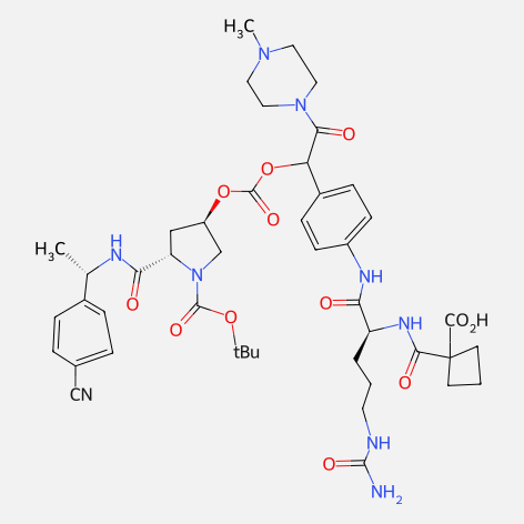 C[C@H](NC(=O)[C@@H]1C[C@@H](OC(=O)OC(C(=O)N2CCN(C)CC2)c2ccc(NC(=O)[C@H](CCCNC(N)=O)NC(=O)C3(C(=O)O)CCC3)cc2)CN1C(=O)OC(C)(C)C)c1ccc(C#N)cc1